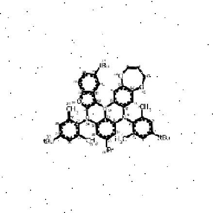 Cc1cc(C(C)(C)C)cc(C)c1N1c2cc3c(cc2B2c4c1cc(C(C)C)cc4N(c1c(C)cc(C(C)(C)C)cc1C)c1oc4ccc(C(C)(C)C)cc4c12)OCCCO3